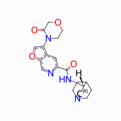 O=C(N[C@H]1CN2CCC1CC2)c1cc2c(N3CCOCC3=O)coc2cn1